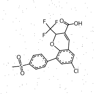 CS(=O)(=O)c1ccc(-c2cc(Cl)cc3c2OC(C(F)(F)F)C(C(=O)O)=C3)cc1